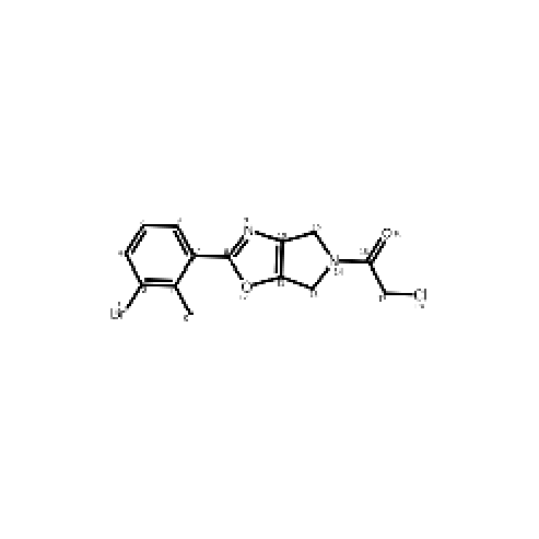 Cc1c(Br)cccc1-c1nc2c(o1)CN(C(=O)CCl)C2